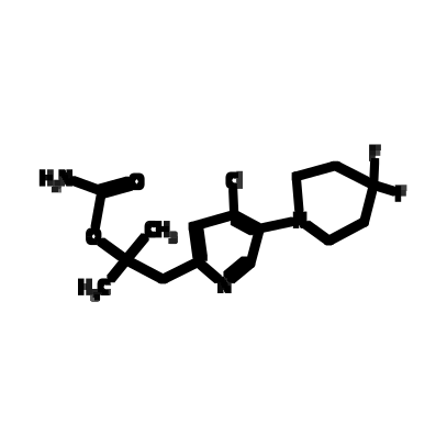 CC(C)(Cc1cc(Cl)c(N2CCC(F)(F)CC2)cn1)OC(N)=O